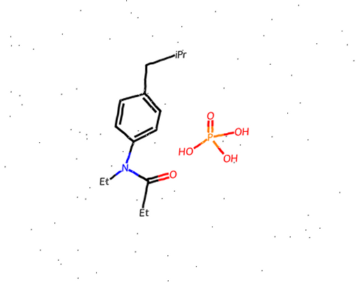 CCC(=O)N(CC)c1ccc(CC(C)C)cc1.O=P(O)(O)O